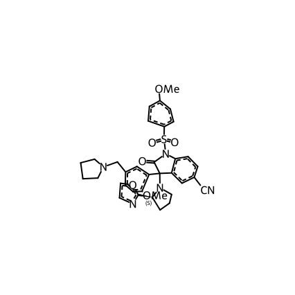 COc1ccc(S(=O)(=O)N2C(=O)C(c3cc(CN4CCCC4)ccc3OC)(N3CCC[C@H]3c3ncco3)c3cc(C#N)ccc32)cc1